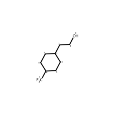 OCCC1CCC(C(F)(F)F)CC1